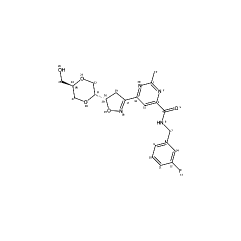 Cc1nc(C(=O)NCc2cccc(F)c2)cc(C2=NO[C@H](C3CO[C@H](CO)CO3)C2)n1